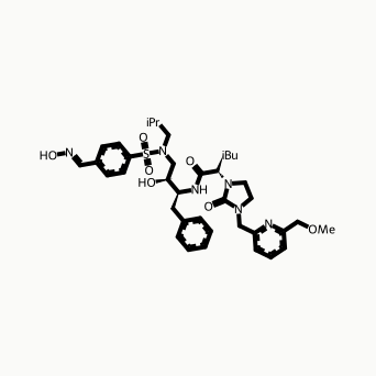 CC[C@H](C)[C@@H](C(=O)N[C@@H](Cc1ccccc1)[C@@H](O)CN(CC(C)C)S(=O)(=O)c1ccc(C=NO)cc1)N1CCN(Cc2cccc(COC)n2)C1=O